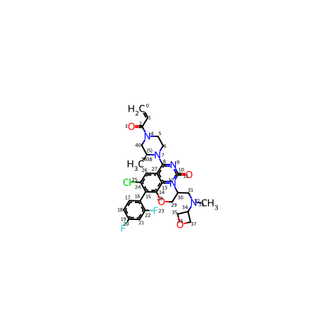 C=CC(=O)N1CCN(c2nc(=O)n3c4c(c(-c5ccc(F)cc5F)c(Cl)cc24)OCC3CN(C)C2COC2)[C@@H](C)C1